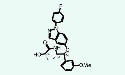 COc1cccc([C@H](Oc2ccc3c(cnn3-c3ccc(F)cc3)c2)[C@H](C)NC(=O)[C@H](C)O)c1